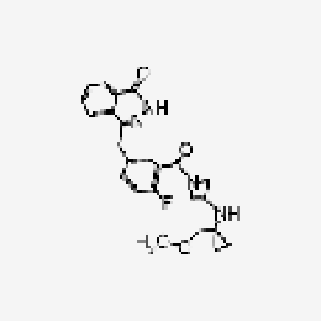 COCC1(NC2CN(C(=O)c3cc(Cc4n[nH]c(=O)c5ccccc45)ccc3F)C2)CC1